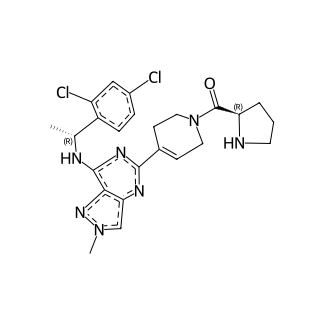 C[C@@H](Nc1nc(C2=CCN(C(=O)[C@H]3CCCN3)CC2)nc2cn(C)nc12)c1ccc(Cl)cc1Cl